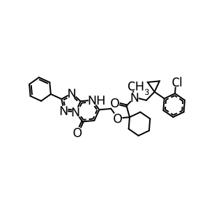 CN(CC1(c2ccccc2Cl)CC1)C(=O)C1(OCc2cc(=O)n3nc(C4C=CC=CC4)nc3[nH]2)CCCCC1